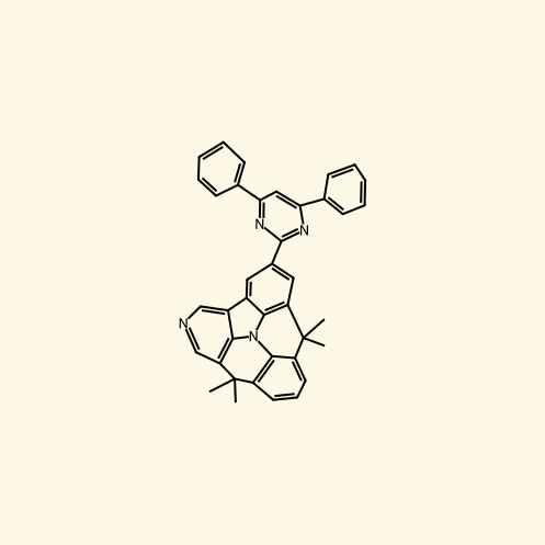 CC1(C)c2cccc3c2-n2c4c1cncc4c1cc(-c4nc(-c5ccccc5)cc(-c5ccccc5)n4)cc(c12)C3(C)C